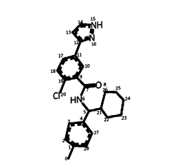 Cc1ccc(C(NC(=O)c2cc(-c3cc[nH]n3)ccc2Cl)C2CCCCC2)cc1